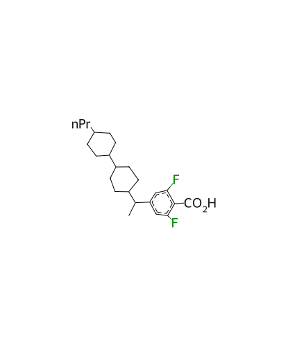 CCCC1CCC(C2CCC(C(C)c3cc(F)c(C(=O)O)c(F)c3)CC2)CC1